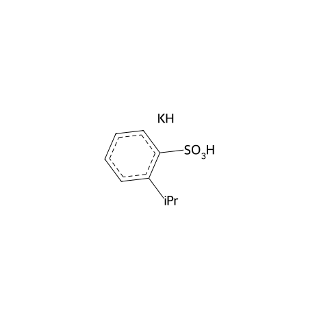 CC(C)c1ccccc1S(=O)(=O)O.[KH]